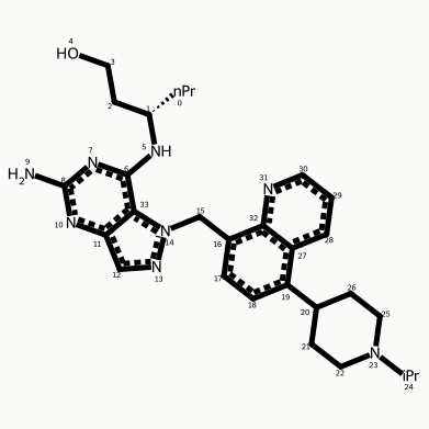 CCC[C@@H](CCO)Nc1nc(N)nc2cnn(Cc3ccc(C4CCN(C(C)C)CC4)c4cccnc34)c12